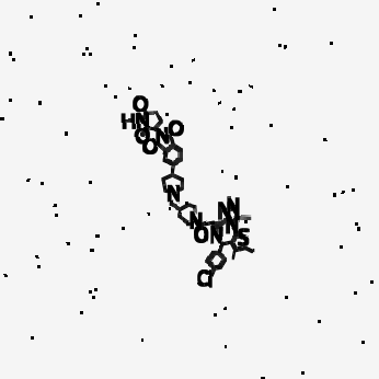 Cc1sc2c(c1C)C(c1ccc(Cl)cc1)=N[C@@H](CC(=O)N1CCC(CN3CCC(c4ccc5c(c4)C(=O)N(C4CCC(=O)NC4=O)C5=O)CC3)CC1)c1nnc(C)n1-2